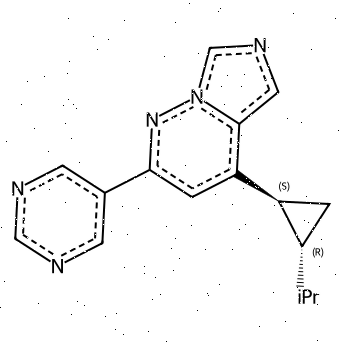 CC(C)[C@H]1C[C@@H]1c1cc(-c2cncnc2)nn2cncc12